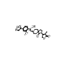 COc1cc(-n2cnnn2)ccc1[C@@H](O)CN1CCC2(CC1)CCN(C1=C(C)C(=O)OC1)C2=O